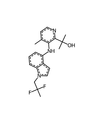 Cc1ccnc(C(C)(C)O)c1Nc1cccc2c1ccn2CC(C)(F)F